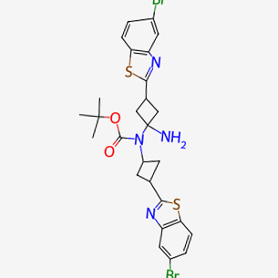 CC(C)(C)OC(=O)N(C1CC(c2nc3cc(Br)ccc3s2)C1)C1(N)CC(c2nc3cc(Br)ccc3s2)C1